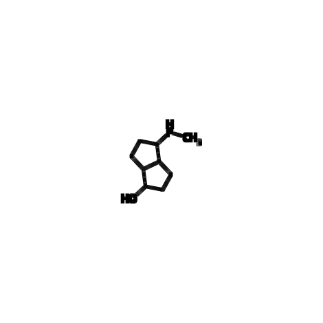 CPC1CCC2C(O)CCC12